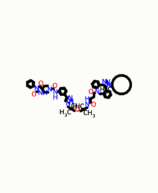 CC(C)(CNC(=O)CCC(=O)N1Cc2ccccc2-c2c(nnn2C2(C)CCCCCCCCCCCCCCC2)-c2ccccc21)COCC(C)(C)Cn1cc(-c2cccc(NC(=O)N3CCC4(CC3)NC(=O)N(c3ccccc3)C4=O)c2)nn1